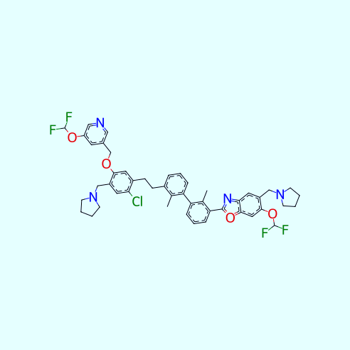 Cc1c(CCc2cc(OCc3cncc(OC(F)F)c3)c(CN3CCCC3)cc2Cl)cccc1-c1cccc(-c2nc3cc(CN4CCCC4)c(OC(F)F)cc3o2)c1C